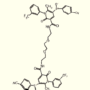 Cc1c([S+]([O-])c2ccc(C#N)cc2)cc(C(=O)NCCOCCOCCNC(=O)c2cc([S+]([O-])c3ccc(C#N)cc3)c(C)n(-c3cccc(C(F)(F)F)c3)c2=O)c(=O)n1-c1cccc(C(F)(F)F)c1